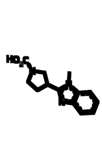 Cn1c(C2CCN(C(=O)O)C2)nc2ccccc21